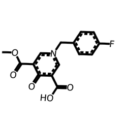 COC(=O)c1cn(Cc2ccc(F)cc2)cc(C(=O)O)c1=O